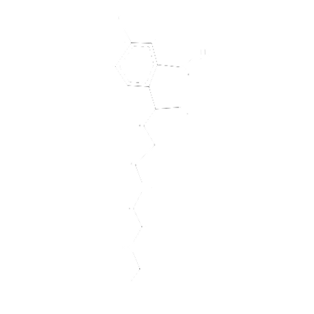 CCOCCOCCCC(O)c1ccc(F)cc1SC